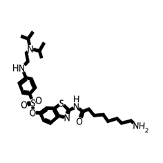 CC(C)N(CCNc1ccc(S(=O)(=O)Oc2ccc3nc(NC(=O)CCCCCCCN)sc3c2)cc1)C(C)C